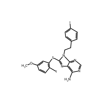 COc1ccc(I)c(Sc2nc3c(N)ncnc3n2CCc2ccc(I)cc2)c1